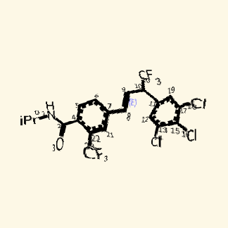 CC(C)NC(=O)c1ccc(/C=C/C(c2cc(Cl)c(Cl)c(Cl)c2)C(F)(F)F)cc1C(F)(F)F